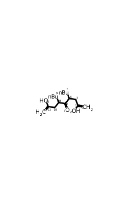 C=C(O)CC(CCCC)C(=O)C(CCCC)CC(=C)O